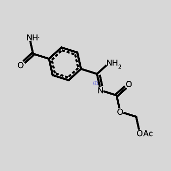 CC(=O)OCOC(=O)/N=C(\N)c1ccc(C([NH])=O)cc1